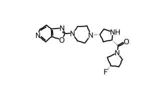 O=C([C@@H]1C[C@H](N2CCN(c3nc4ccncc4o3)CC2)CN1)N1CC[C@H](F)C1